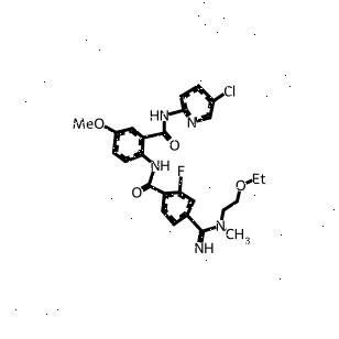 CCOCCN(C)C(=N)c1ccc(C(=O)Nc2ccc(OC)cc2C(=O)Nc2ccc(Cl)cn2)c(F)c1